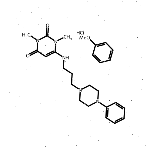 COc1ccccc1.Cl.Cn1c(NCCCN2CCN(c3ccccc3)CC2)cc(=O)n(C)c1=O